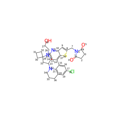 O=C1CCC(=O)N1Cc1cc2nccc(-c3cc(Cl)cc4c3N(C3CN(CCO)C5(CCC5)C3)CCC4)c2s1